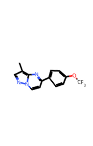 Cc1cnn2ccc(-c3ccc(OC(F)(F)F)cc3)nc12